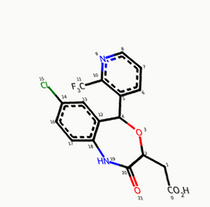 O=C(O)CC1OC(c2cccnc2C(F)(F)F)c2cc(Cl)ccc2NC1=O